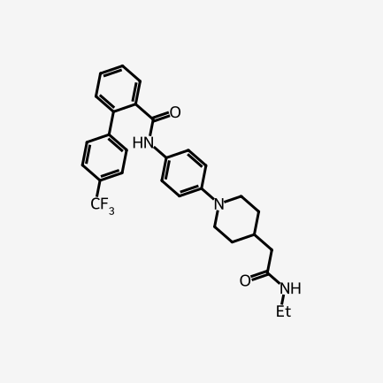 CCNC(=O)CC1CCN(c2ccc(NC(=O)c3ccccc3-c3ccc(C(F)(F)F)cc3)cc2)CC1